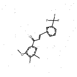 COc1cc(C(=O)/C=C/c2cccc(C(F)(F)F)c2)cc(C)c1C